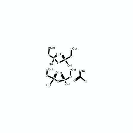 CCCCCCCCOP(=O)(O)OP(=O)(O)OCCCCCCCC.CCCCCCCCOP(=O)(O)OP(=O)(O)OCCCCCCCC.O=C[C](=O)[Ti]